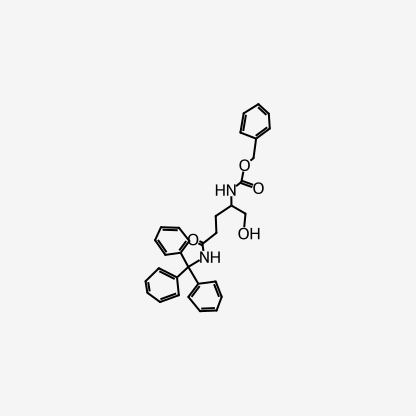 O=C(CCC(CO)NC(=O)OCc1ccccc1)NC(c1ccccc1)(c1ccccc1)c1ccccc1